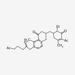 CCC1C(=O)C(C(C)=O)=C(C)CC1CC1CC(=O)c2c(ccc(CC(=O)CCCC(C)=O)c2C)C1